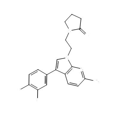 N#Cc1ccc2c(-c3ccc(Cl)c(F)c3)cn(CCN3CCCC3=O)c2n1